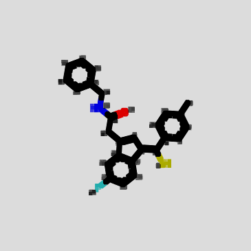 Cc1ccc(C(S)=C2C=C(CC(=O)NCc3ccccc3)c3cc(F)ccc32)cc1